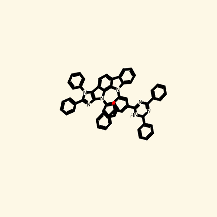 c1ccc(C2=NC(c3ccccc3)NC(c3cc(-c4ccccc4)cc(-n4c5ccccc5c5ccc6c7c(nc(-c8ccccc8)n7-c7ccccc7)n(-c7ccccc7)c6c54)c3)=N2)cc1